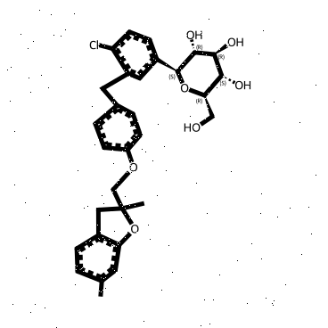 Cc1ccc2c(c1)OC(C)(COc1ccc(Cc3cc([C@@H]4O[C@H](CO)[C@@H](O)[C@H](O)[C@H]4O)ccc3Cl)cc1)C2